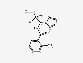 Cc1ccccc1C(=O)NC(n1cncn1)C(Cl)(Cl)CCl